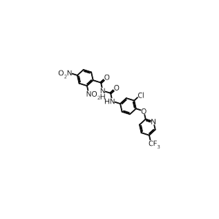 O=C(NC(=O)c1ccc([N+](=O)[O-])cc1[N+](=O)[O-])Nc1ccc(Oc2ccc(C(F)(F)F)cn2)c(Cl)c1